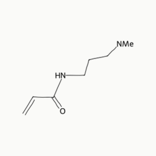 C=CC(=O)NCCCNC